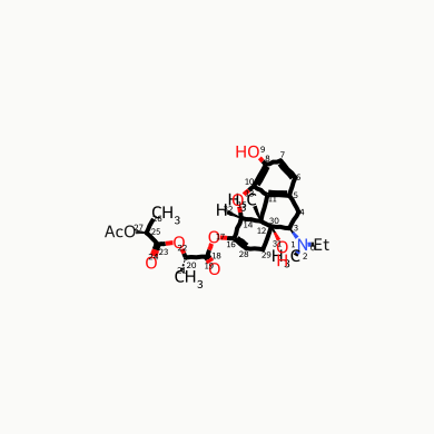 CCN(C)[C@@H]1Cc2ccc(O)c3c2[C@@]2(C)[C@@H](O3)C(OC(=O)[C@H](C)OC(=O)[C@H](C)OC(C)=O)=CC[C@@]12O